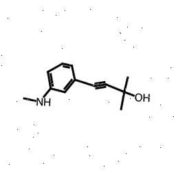 CNc1cccc(C#CC(C)(C)O)c1